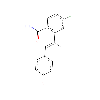 NC(=O)c1ccc(Cl)cc1C(=Cc1ccc(O)cc1)C(=O)O